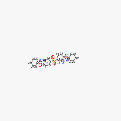 NC1(OC2CCC(S(=O)(=O)C3CCC(OC4(N)CCCCC4)CC3)CC2)CCCCC1